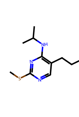 CCCc1cnc(SC)nc1NC(C)C